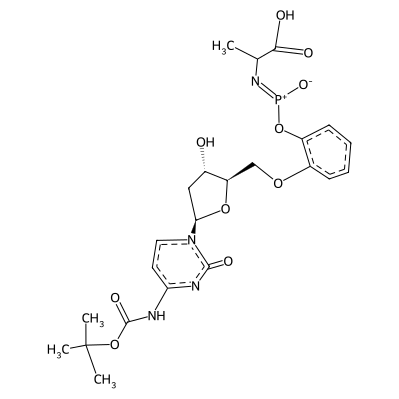 CC(/N=[P+](\[O-])Oc1ccccc1OC[C@H]1O[C@@H](n2ccc(NC(=O)OC(C)(C)C)nc2=O)C[C@@H]1O)C(=O)O